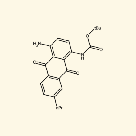 CCCc1ccc2c(c1)C(=O)c1c(NC(=O)OC(C)(C)C)ccc(N)c1C2=O